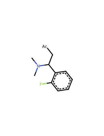 CC(=O)CC(c1ccccc1F)N(C)C